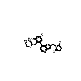 Cc1cc(Cl)cc(-c2ccnc3cc(CN4C(=O)CCC4=O)sc23)c1C[C@H]1CNCCO1